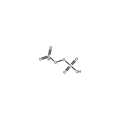 O=[SH](=O)OOS(=O)(=O)O